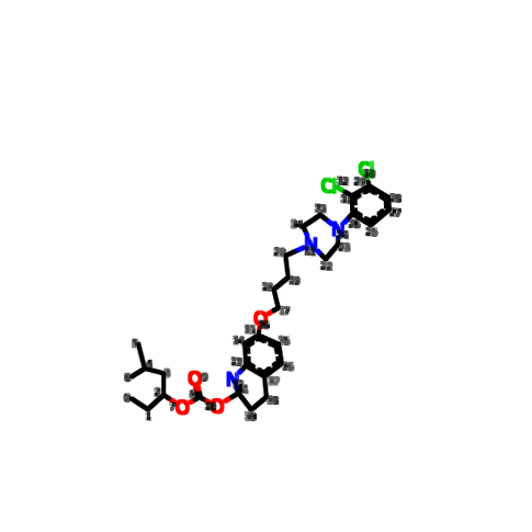 CCC(CC(C)C)OC(=O)OC1=Nc2cc(OCCCCN3CCN(c4cccc(Cl)c4Cl)CC3)ccc2CC1